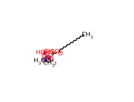 CCCCCCCCCCCCCCCC(=O)OCC(O)COP(=O)(O)C(C[N+](C)(C)C)OP(=O)(O)O